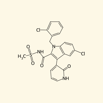 CS(=O)(=O)NC(=O)c1c(-c2ccc[nH]c2=O)c2cc(Cl)ccc2n1Cc1ccccc1Cl